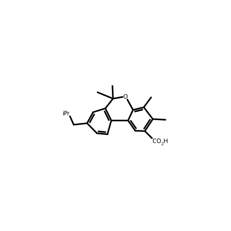 Cc1c(C(=O)O)cc2c(c1C)OC(C)(C)c1cc(CC(C)C)ccc1-2